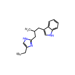 CC(Cc1nc(CC(C)(C)C)c[nH]1)Cc1c[nH]c2ccccc12